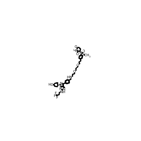 Cn1c(=O)n([C@H]2CCC(=O)NC2=O)c2ccc(CCCOCCCOCCCNCc3ccc(-c4nn([C@H]5CC[C@H](O)CC5)c5nc(NCCC(F)(F)F)ncc45)cc3)cc21